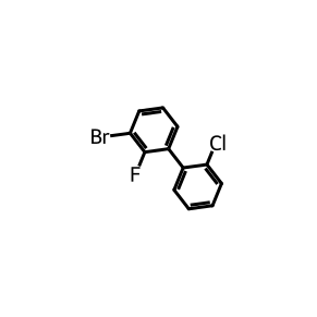 Fc1c(Br)cccc1-c1ccccc1Cl